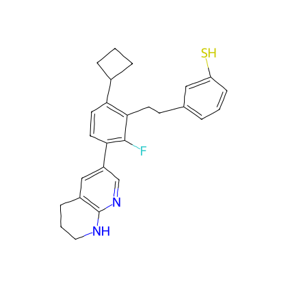 Fc1c(-c2cnc3c(c2)CCCN3)ccc(C2CCC2)c1CCc1cccc(S)c1